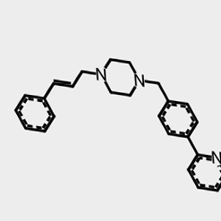 C(=Cc1ccccc1)CN1CCN(Cc2ccc(-c3ccccn3)cc2)CC1